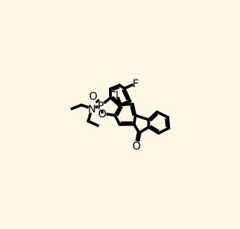 CCN(CC)P(=O)(Oc1cc2c(cc1Cl)-c1ccccc1C2=O)c1ccc(F)cc1